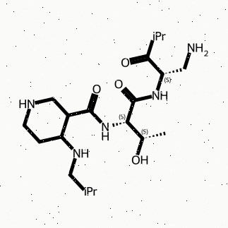 CC(C)CNC1CCNCC1C(=O)N[C@H](C(=O)N[C@@H](CN)C(=O)C(C)C)[C@H](C)O